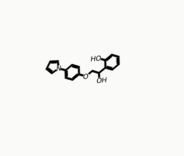 Oc1ccccc1C(O)COc1ccc(-n2cccc2)cc1